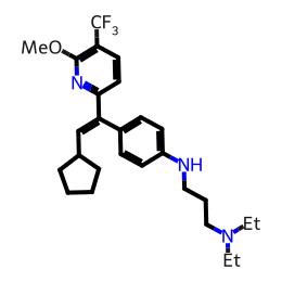 CCN(CC)CCCNc1ccc(/C(=C\C2CCCC2)c2ccc(C(F)(F)F)c(OC)n2)cc1